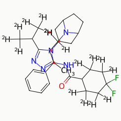 [2H]C([2H])([2H])C(c1nnc(C)n1C1CC2CCC(C1)N2C([2H])([2H])CC(NC(=O)C1C([2H])([2H])C([2H])([2H])C(F)(F)C([2H])([2H])C1([2H])[2H])c1ccccc1)C([2H])([2H])[2H]